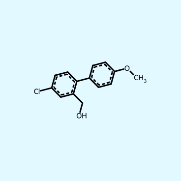 COc1ccc(-c2ccc(Cl)cc2CO)cc1